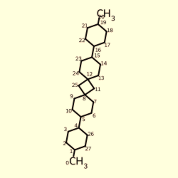 CC1CCC(C2CCC3(CC2)CC2(CCC(C4CCC(C)CC4)CC2)C3)CC1